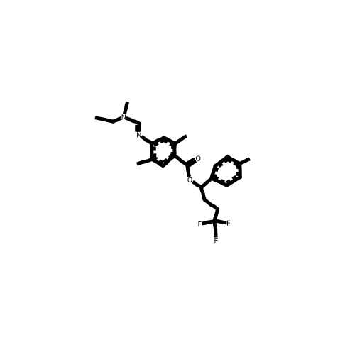 CCN(C)/C=N/c1cc(C)c(C(=O)OC(CCC(F)(F)F)c2ccc(C)cc2)cc1C